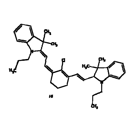 CCCN1C(=CC=C2CCCC(C=CC3N(CCC)c4ccccc4C3(C)C)=C2Cl)C(C)(C)c2ccccc21.I